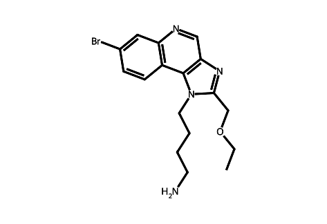 CCOCc1nc2cnc3cc(Br)ccc3c2n1CCCCN